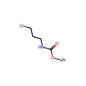 CCCOC(=O)NCCCCl